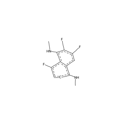 CNc1ccc(F)c2c(NC)c(F)c(F)cc12